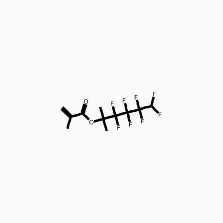 C=C(C)C(=O)OC(C)(C)C(F)(F)C(F)(F)C(F)(F)C(F)F